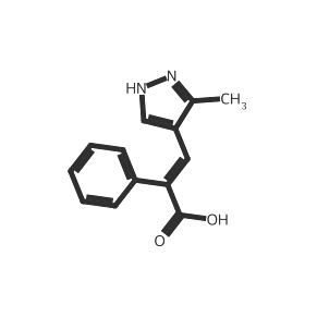 Cc1n[nH]cc1/C=C(/C(=O)O)c1ccccc1